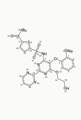 COc1ccccc1Oc1c(NS(=O)(=O)c2ccc(C(=O)C(C)(C)C)s2)nc(-c2ncccn2)nc1OCCO